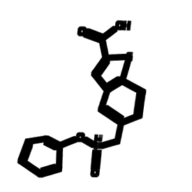 O=C(O)c1cc2cc(C[PH](=O)Oc3ccccc3)ccc2s1